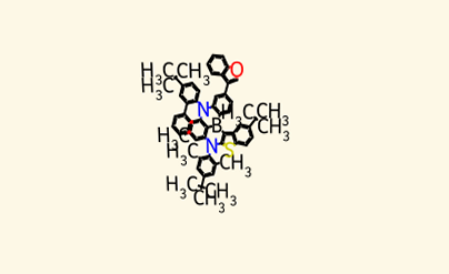 Cc1cc2c3c(c1)N(c1c(C)cc(C(C)(C)C)cc1C)c1sc4ccc(C(C)(C)C)cc4c1B3c1ccc(-c3coc4ccccc34)cc1N2c1ccc(C(C)(C)C)cc1-c1ccccc1